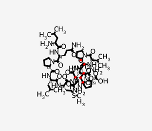 CSCC[C@H](NC(=O)[C@H](CC(C)C)NC(=O)[C@@H]1CCCN1C(=O)[C@H](CCC(N)=O)NC(=O)[C@@H](N)CC(C)C)C(=O)N[C@@H](CCC(N)=O)C(=O)N[C@@H](CCC(N)=O)C(=O)N[C@H](C(=O)N1CCC[C@H]1C(=O)N[C@@H](CCC(N)=O)C(=O)N1CCC[C@H]1C(=O)O)C(C)C